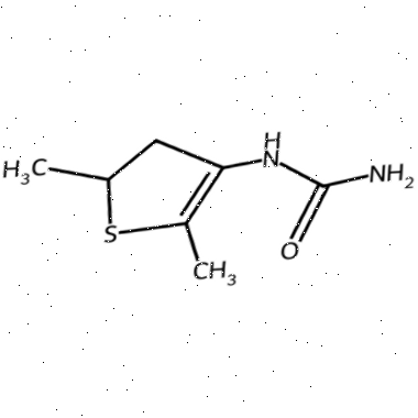 CC1=C(NC(N)=O)CC(C)S1